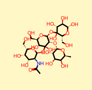 CC(=O)N[C@@H]1[C@H](O[C@]2(O)[C@@H](O)[C@@H](CO)O[C@@H](O[C@]3(O)[C@H](O)[C@@H](O)[C@H](O)O[C@@H]3CO)[C@@H]2O[C@@H]2O[C@@H](C)[C@@H](O)[C@@H](O)[C@@H]2O)O[C@@H](CO)[C@@H](O)[C@H]1O